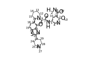 COc1ncc(NC(=O)C(=O)N2CCCC[C@@H]2c2ccc3sc(C4CCN(C)CC4)nc3c2)cc1C(N)=O